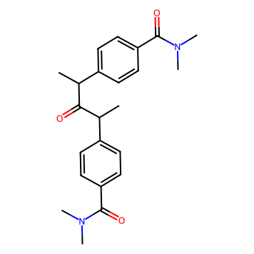 CC(C(=O)C(C)c1ccc(C(=O)N(C)C)cc1)c1ccc(C(=O)N(C)C)cc1